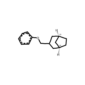 c1ccc(OCC2C[C@H]3CC[C@@H](C2)C3)cc1